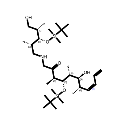 C=C/C=C\[C@H](C)[C@H](O)[C@@H](C)[C@H](O[Si](C)(C)C(C)(C)C)[C@@H](C)C(=O)CNC[C@H](C)[C@@H](O[Si](C)(C)C(C)(C)C)[C@@H](C)CO